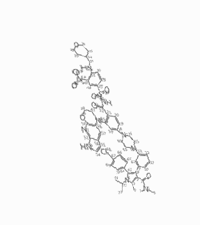 Cc1c(C(=O)N(C)C)c(-c2cccc(N3CCN(c4ccc(C(=O)NS(=O)(=O)c5ccc(NCC6CCOCC6)c([N+](=O)[O-])c5)c(N5CCOc6nc7[nH]ccc7cc65)c4)CC3)c2)c(-c2ccc(Cl)cc2)n1C(C)C